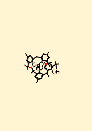 Cc1cc(C(C)c2cc(C)cc(C(C)(C)C)c2OP2(=O)Oc3c(cc(C)cc3C(C)(C)C)Cc3cc(C)cc(C(C)(C)C)c3O2)c(O)c(C(C)(C)C)c1